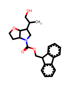 CC(CO)C1CN(C(=O)OCC2c3ccccc3-c3ccccc32)C2CCOC12